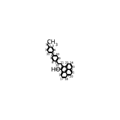 CCc1ccc(-c2ccc(CCc3c(O)c4cccc5ccc6cccc3c6c54)cc2)cc1